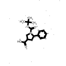 CC(C)(C)OC(=O)N1CC(C(=O)O)CC1c1ccccc1